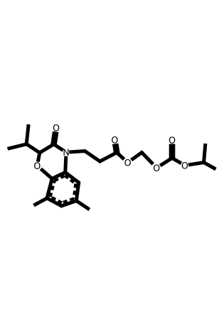 Cc1cc(C)c2c(c1)N(CCC(=O)OCOC(=O)OC(C)C)C(=O)C(C(C)C)O2